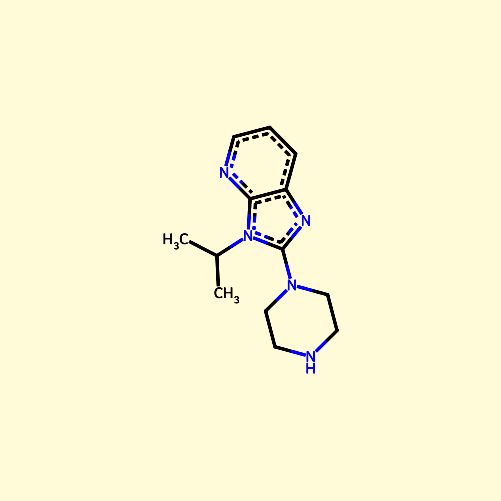 CC(C)n1c(N2CCNCC2)nc2cccnc21